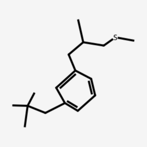 CSCC(C)Cc1cccc(CC(C)(C)C)c1